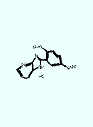 COc1ccc(SC)cc1-c1nc2ncccc2[nH]1.Cl